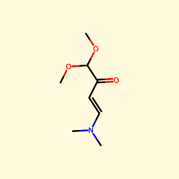 CO[C](OC)C(=O)C=CN(C)C